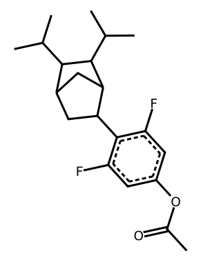 CC(=O)Oc1cc(F)c(C2CC3CC2C(C(C)C)C3C(C)C)c(F)c1